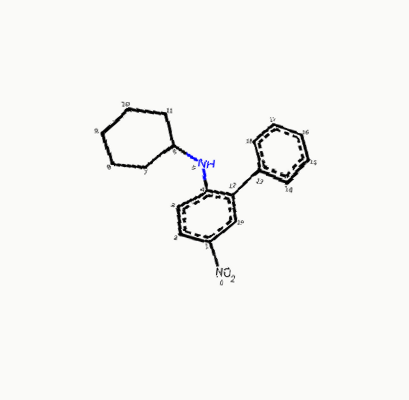 O=[N+]([O-])c1ccc(NC2CCCCC2)c(-c2ccccc2)c1